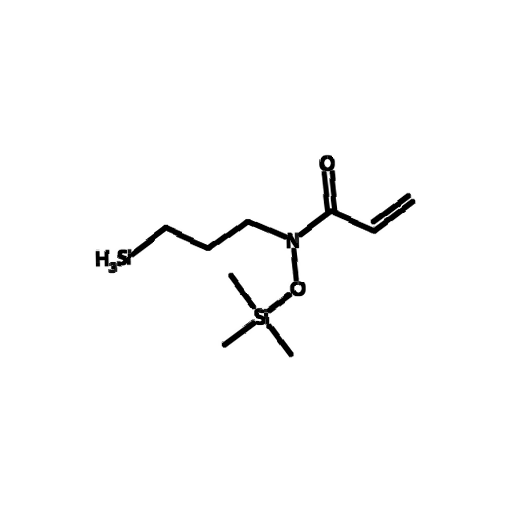 C=CC(=O)N(CCC[SiH3])O[Si](C)(C)C